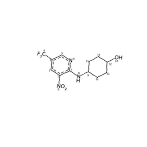 O=[N+]([O-])c1cc(C(F)(F)F)cnc1NC1CCC(O)CC1